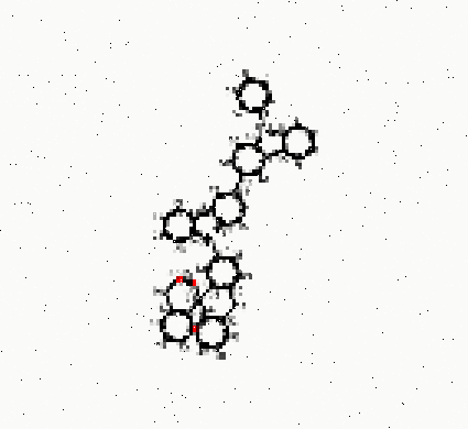 c1ccc(-n2c3ccccc3c3cc(-c4ccc5c(c4)c4ccccc4n5-c4ccc5c(c4)C4(c6ccccc6Cc6ccccc64)c4ccccc4C5)ccc32)cc1